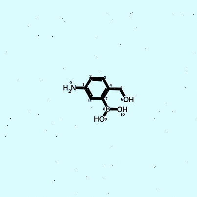 Nc1ccc(CO)c(B(O)O)c1